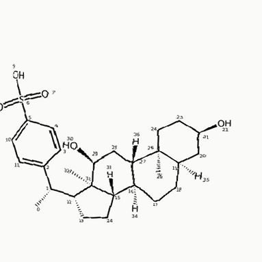 C[C@H](c1ccc(S(=O)(=O)O)cc1)[C@H]1CC[C@H]2[C@@H]3CC[C@@H]4C[C@H](O)CC[C@]4(C)[C@H]3C[C@H](O)[C@]12C